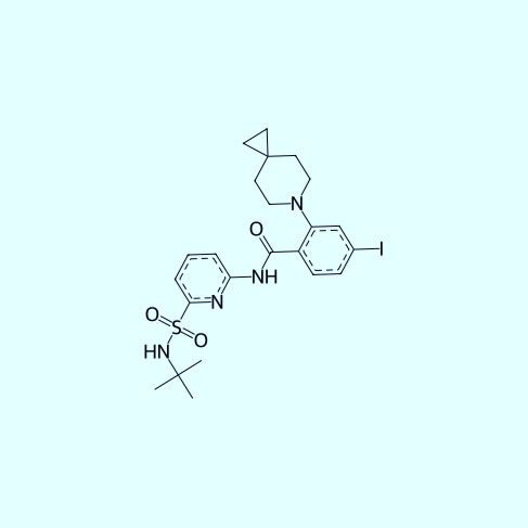 CC(C)(C)NS(=O)(=O)c1cccc(NC(=O)c2ccc(I)cc2N2CCC3(CC2)CC3)n1